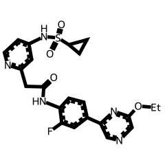 CCOc1cncc(-c2ccc(NC(=O)Cc3cc(NS(=O)(=O)C4CC4)ccn3)c(F)c2)n1